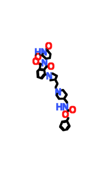 O=C1CCC(N2C(=O)c3cccc(N4CCC(CCN5CCC(CNC(=O)OCc6ccccc6)CC5)C4)c3C2=O)C(=O)N1